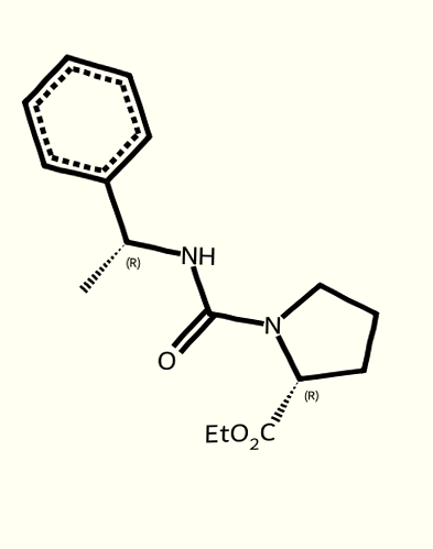 CCOC(=O)[C@H]1CCCN1C(=O)N[C@H](C)c1ccccc1